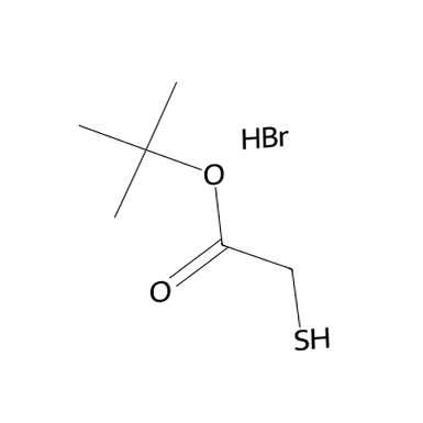 Br.CC(C)(C)OC(=O)CS